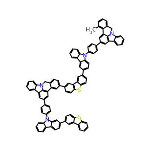 Cc1cccc2c1-c1cc(-c3ccc(-n4c5ccccc5c5cc(-c6ccc7sc8ccc(-c9ccc%10c(c9)-c9cc(-c%11ccc(-n%12c%13ccccc%13c%13ccc(-c%14ccc%15sc%16ccccc%16c%15c%14)cc%13%12)cc%11)cc%11c%12ccccc%12n(c9%11)C%10)cc8c7c6)ccc54)cc3)cc3c4ccccc4n(c13)C2